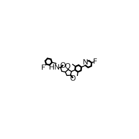 Cc1cc(-c2ccc(F)cn2)cc(C)c1C1C(=O)CC(CC(=O)NCc2cccc(F)c2)C1=O